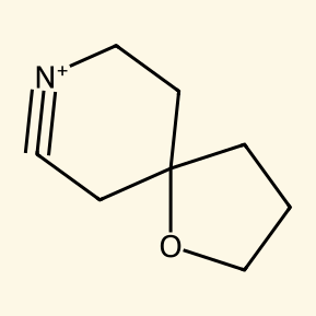 C1#[N+]CCC2(C1)CCCO2